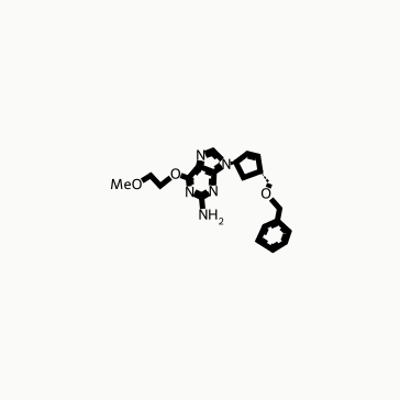 COCCOc1nc(N)nc2c1ncn2[C@H]1C=C[C@H](COCc2ccccc2)C1